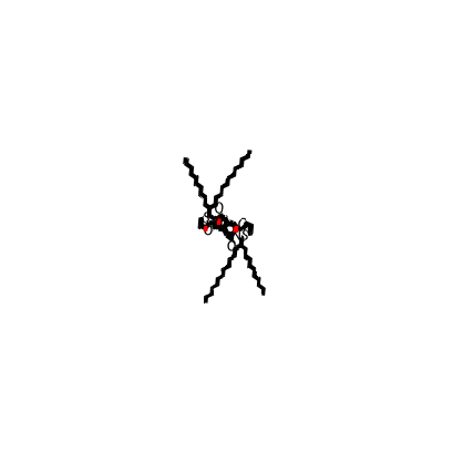 CCCCCCCCCCCCC(CCCCCCCCCC)Cn1c(=O)c2cc(-c3cccs3)c(c1=O)c1c3cc(-c4cccs4)c(c(=O)n(CC(CCCCCCCCCC)CCCCCCCCCCCC)c3=O)c21